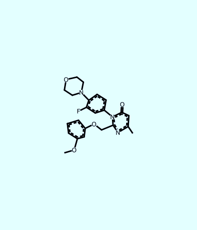 COc1cccc(OCc2nc(C)cc(=O)n2-c2ccc(N3CCOCC3)c(F)c2)c1